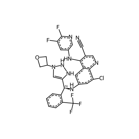 N#Cc1cnc2c(Cl)cc(N[C@H](C3=CN(C4COC4)NN3)c3ccccc3C(F)(F)F)cc2c1Nc1cnc(F)c(F)c1